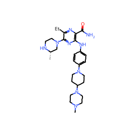 CCc1nc(C(N)=O)c(Nc2ccc(N3CCC(N4CCN(C)CC4)CC3)cc2)nc1N1CCN[C@@H](C)C1